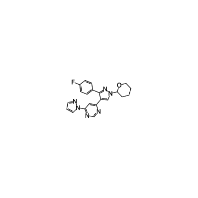 Fc1ccc(-c2nn(C3CCCCO3)cc2-c2cc(-n3cccn3)ncn2)cc1